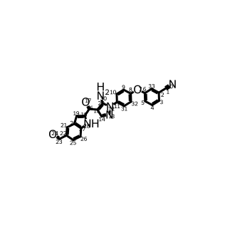 N#Cc1cccc(Oc2ccc(-n3ncc(C(=O)c4cc5cc(C=O)ccc5[nH]4)c3N)cc2)c1